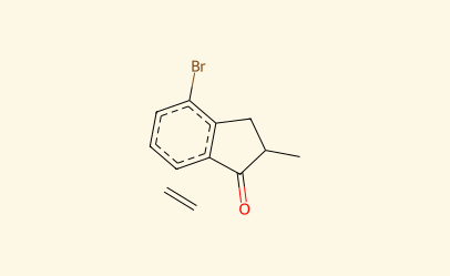 C=C.CC1Cc2c(Br)cccc2C1=O